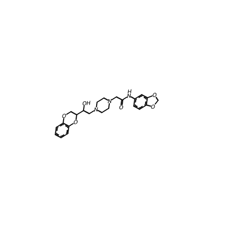 O=C(CN1CCN(CC(O)C2COc3ccccc3O2)CC1)Nc1ccc2c(c1)OCO2